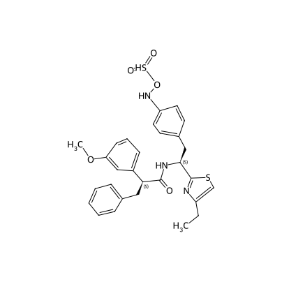 CCc1csc([C@H](Cc2ccc(NO[SH](=O)=O)cc2)NC(=O)[C@@H](Cc2ccccc2)c2cccc(OC)c2)n1